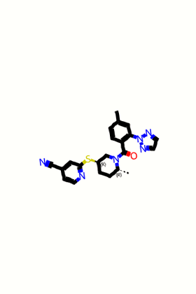 Cc1ccc(C(=O)N2C[C@H](Sc3cc(C#N)ccn3)CC[C@H]2C)c(-n2nccn2)c1